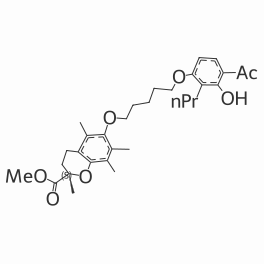 CCCc1c(OCCCCCOc2c(C)c(C)c3c(c2C)CC[C@@](C)(C(=O)OC)O3)ccc(C(C)=O)c1O